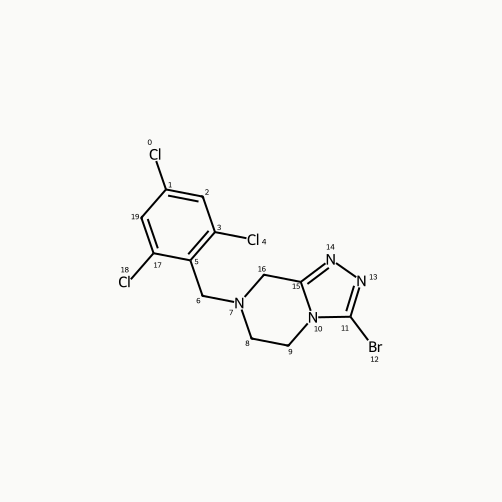 Clc1cc(Cl)c(CN2CCn3c(Br)nnc3C2)c(Cl)c1